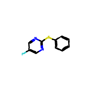 Fc1cnc(Sc2ccccc2)nc1